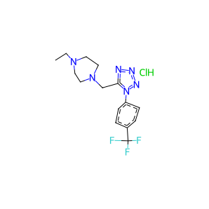 CCN1CCN(Cc2nnnn2-c2ccc(C(F)(F)F)cc2)CC1.Cl